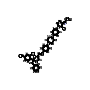 CCC(C)/C=C1\N=CN(c2ccc(N3CCN(c4ccc(OCC5COC(Cc6ccncc6)(c6ccc(Cl)cc6Cl)O5)cc4)CC3)cc2)C1=O